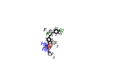 Cc1cc(C(/C=C(\F)c2ccc(C(=O)NN(C)C(=O)NCC(F)(F)F)c(C(F)(F)F)c2)C(F)(F)F)ccc1Cl